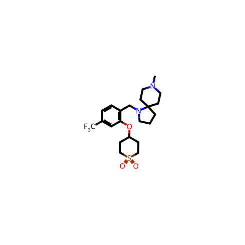 CN1CCC2(CCCN2Cc2ccc(C(F)(F)F)cc2OC2CCS(=O)(=O)CC2)CC1